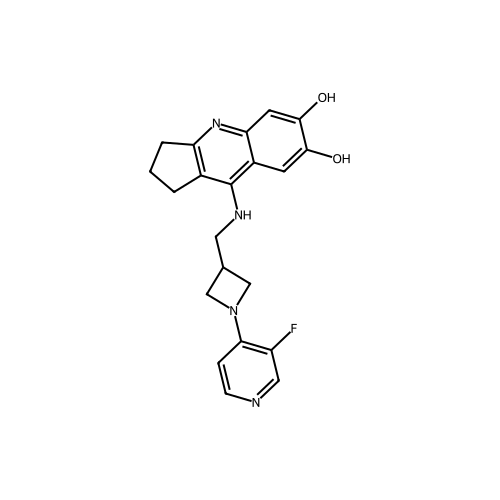 Oc1cc2nc3c(c(NCC4CN(c5ccncc5F)C4)c2cc1O)CCC3